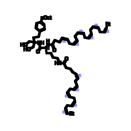 CC/C=C\C/C=C\C/C=C\C/C=C\C/C=C\C/C=C\CCC(=O)N[C@@H](CCCCNC(=O)CCC/C=C\C/C=C\C/C=C\C/C=C\C/C=C\CC)C(=O)NC(CO)(CO)CCc1ccc(CCCCCCCC)cc1